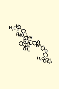 Cc1nccc(-c2ccc(C[C@H](NC(=O)[C@@H]3Cc4cc5c(cc4CN3C(=O)N[C@H](C)c3ccccc3)O[C@@H](c3ccc(O[C@H]4CC[C@H](C(C)(C)C)CC4)cc3)CO5)C(=O)O)cc2)c1C